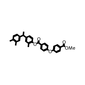 COC(=O)c1ccc(Oc2ccc(C(=O)Oc3ccc(C(C)c4ccc(C)c(C)c4)cc3C)cc2)cc1